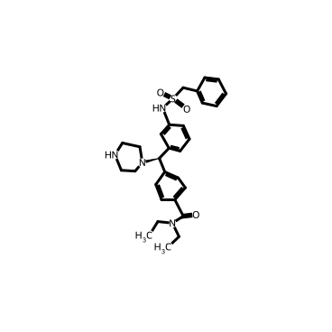 CCN(CC)C(=O)c1ccc([C@H](c2cccc(NS(=O)(=O)Cc3ccccc3)c2)N2CCNCC2)cc1